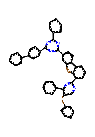 c1ccc(Sc2cnc(-c3cccc4c3sc3cc(-c5nc(-c6ccccc6)nc(-c6ccc(-c7ccccc7)cc6)n5)ccc34)nc2-c2ccccc2)cc1